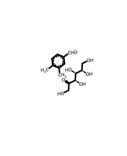 Cc1ccc(C=O)cc1C.O=C(CO)[C@H](O)[C@@H](O)[C@H](O)CO